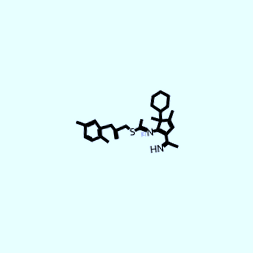 C=C(CS/C(C)=N/C1=C(C(C)=N)C=C(C)C1(C)C1CCCCC1)Cc1cc(C)ccc1C